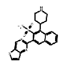 NS(=O)(=O)c1c(-c2ncc3sccc3n2)cc2ccccc2c1C1CCNCC1